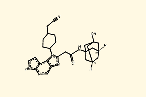 N#CCC1CCC(n2c(CC(=O)NC34C[C@@H]5C[C@@H](CC(O)(C5)C3)C4)nc3cnc4[nH]ccc4c32)CC1